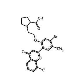 Cc1cc(-c2cc(=O)c3cccc(Cl)c3o2)c(OCCN2CCCC2C(=O)O)cc1Br